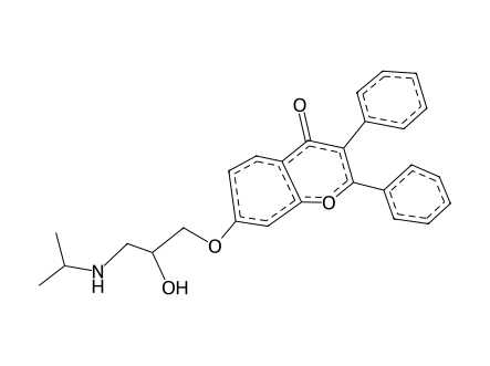 CC(C)NCC(O)COc1ccc2c(=O)c(-c3ccccc3)c(-c3ccccc3)oc2c1